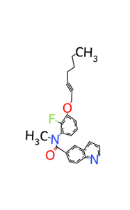 CCCCC#CCOc1cccc(N(C)C(=O)c2ccc3ncccc3c2)c1F